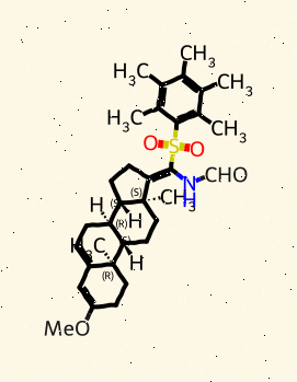 COC1=CC2=CC[C@@H]3[C@H](CC[C@]4(C)C(=C(NC=O)S(=O)(=O)c5c(C)c(C)c(C)c(C)c5C)CC[C@@H]34)[C@@]2(C)CC1